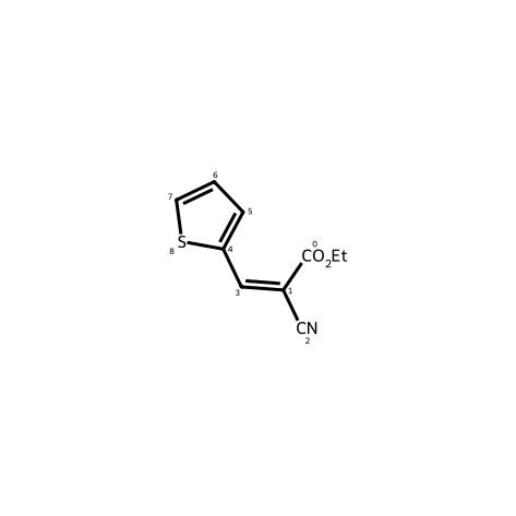 CCOC(=O)/C(C#N)=C\c1cccs1